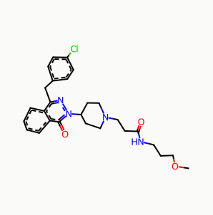 COCCCNC(=O)CCN1CCC(n2nc(Cc3ccc(Cl)cc3)c3ccccc3c2=O)CC1